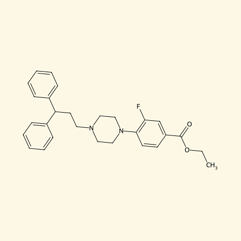 CCOC(=O)c1ccc(N2CCN(CCC(c3ccccc3)c3ccccc3)CC2)c(F)c1